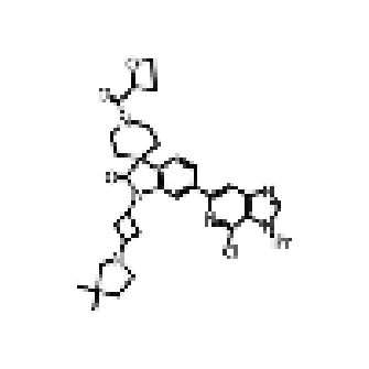 CC(C)n1cnc2cc(-c3ccc4c(c3)N(C3CC(N5CCC(C)(C)C5)C3)C(=O)C43CCN(C(=O)C4CCO4)CC3)nc(Cl)c21